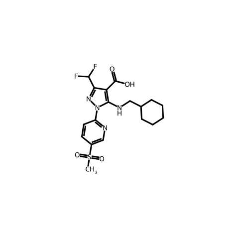 CS(=O)(=O)c1ccc(-n2nc(C(F)F)c(C(=O)O)c2NCC2CCCCC2)nc1